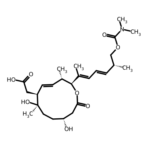 C/C(=C\C=C\[C@@H](C)COC(=O)N(C)C)[C@H]1OC(=O)C[C@H](O)CC[C@@](C)(O)[C@@H](CC(=O)O)/C=C/[C@@H]1C